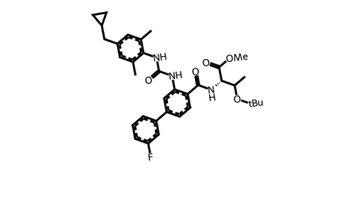 COC(=O)[C@@H](NC(=O)c1ccc(-c2cccc(F)c2)cc1NC(=O)Nc1c(C)cc(CC2CC2)cc1C)C(C)OC(C)(C)C